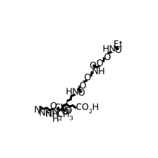 CCC(=O)NCCOCCOCC(=O)NCCOCCOCC(=O)NCCCC[C@H](CC(=O)C(C)(C)NC(=O)[C@@H](N)Cc1cnc[nH]1)C(=O)CCC(=O)O